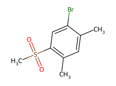 Cc1cc(C)c(S(C)(=O)=O)cc1Br